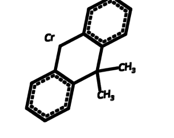 CC1(C)c2ccccc2Cc2ccccc21.[Cr]